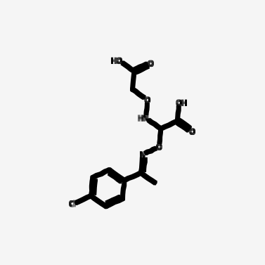 CC(=NOC(NOCC(=O)O)C(=O)O)c1ccc(Cl)cc1